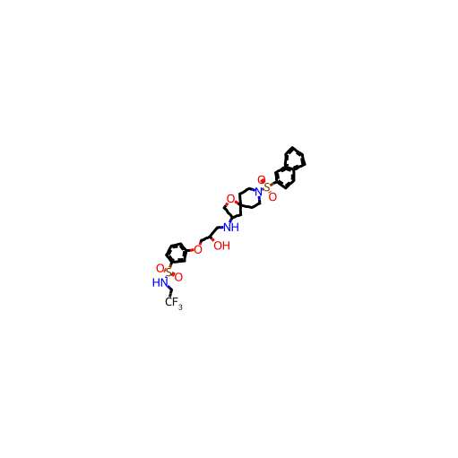 O=S(=O)(NCC(F)(F)F)c1cccc(OCC(O)CNC2COC3(CCN(S(=O)(=O)c4ccc5ccccc5c4)CC3)C2)c1